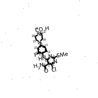 CSc1nc(Cl)c(C(N)=O)c(Nc2ccc(N3CCN(C(=O)O)CC3)cc2F)n1